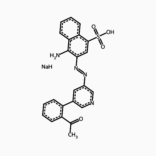 CC(=O)c1ccccc1-c1cncc(N=Nc2cc(S(=O)(=O)O)c3ccccc3c2N)c1.[NaH]